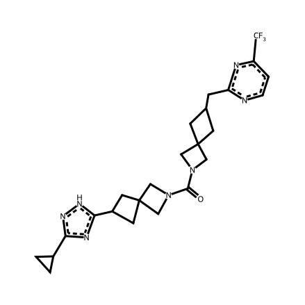 O=C(N1CC2(CC(Cc3nccc(C(F)(F)F)n3)C2)C1)N1CC2(CC(c3nc(C4CC4)n[nH]3)C2)C1